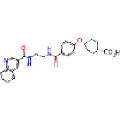 O=C(NCCNC(=O)c1cnc2ccccc2c1)c1ccc(O[C@H]2CC[C@@H](C(=O)O)CC2)cc1